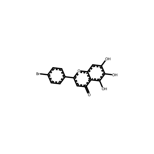 O=c1cc(-c2ccc(Br)cc2)oc2cc(O)c(O)c(O)c12